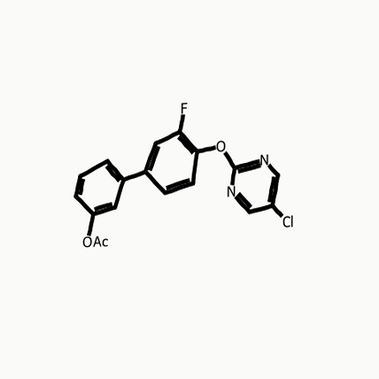 CC(=O)Oc1cccc(-c2ccc(Oc3ncc(Cl)cn3)c(F)c2)c1